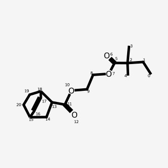 CCC(C)(C)C(=O)OCCOC(=O)C1CC2C=CC1CC2